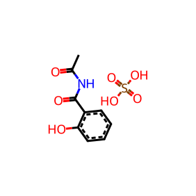 CC(=O)NC(=O)c1ccccc1O.O=S(=O)(O)O